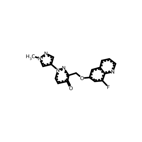 Cn1cc(-n2ccc(=O)c(COc3cc(F)c4ncccc4c3)n2)cn1